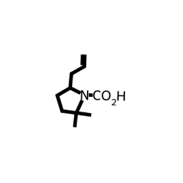 C=CCC1CCC(C)(C)N1C(=O)O